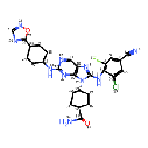 N#Cc1cc(F)c(Nc2nc3cnc(NC4CCC(c5ncno5)CC4)nc3n2[C@H]2CC[C@H](C(N)=O)CC2)c(Cl)c1